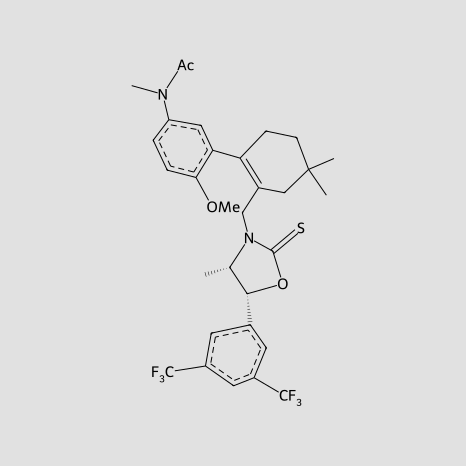 COc1ccc(N(C)C(C)=O)cc1C1=C(CN2C(=S)O[C@H](c3cc(C(F)(F)F)cc(C(F)(F)F)c3)[C@@H]2C)CC(C)(C)CC1